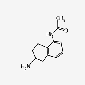 CC(=O)Nc1cccc2c1CCC(N)C2